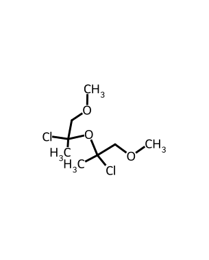 COCC(C)(Cl)OC(C)(Cl)COC